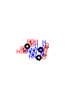 CS(=O)(=O)Nc1cccc(Nc2nc(Nc3cccc(NS(C)(=O)=O)c3)nc(Nc3cc(S(=O)(=O)O)ccc3S(=O)(=O)O)n2)c1